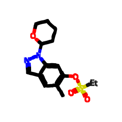 CCS(=O)(=O)Oc1cc2c(cnn2C2CCCCO2)cc1C